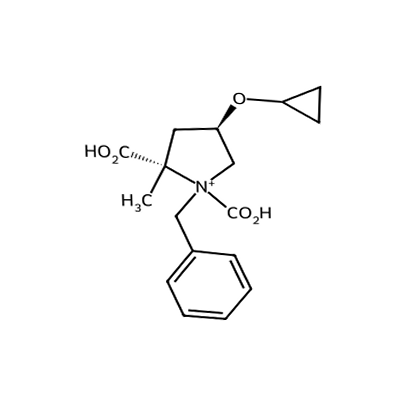 C[C@@]1(C(=O)O)C[C@@H](OC2CC2)C[N+]1(Cc1ccccc1)C(=O)O